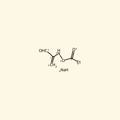 C=C(C=O)NOC(=O)CC.[NaH]